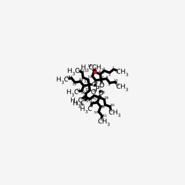 CCCCC(CC)C(CCCC)(CCCC)OP(=O)(OC(CCCC)(CCCC)C(CC)CCCC)OC(CCCC)(CCCC)C(CC)CCCC